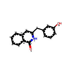 O=c1[nH]c(Cc2cccc(O)c2)cc2ccccc12